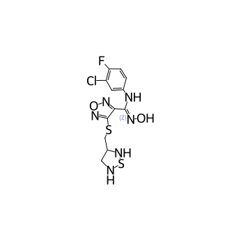 O/N=C(\Nc1ccc(F)c(Cl)c1)c1nonc1SCC1CNSN1